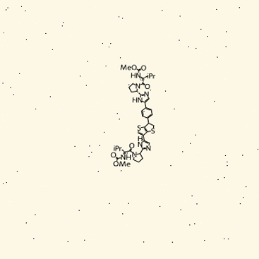 COC(=O)N[C@H](C(=O)N1CCCC1c1ncc(-c2ccc(C3CSc4c(-c5cnc(C6CCCN6C(=O)[C@@H](NC(=O)OC)C(C)C)[nH]5)csc43)cc2)[nH]1)C(C)C